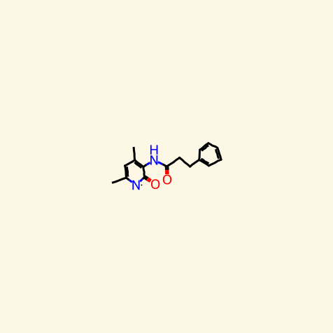 CC1=CC(C)=C(NC(=O)CCc2ccccc2)C(=O)[N]1